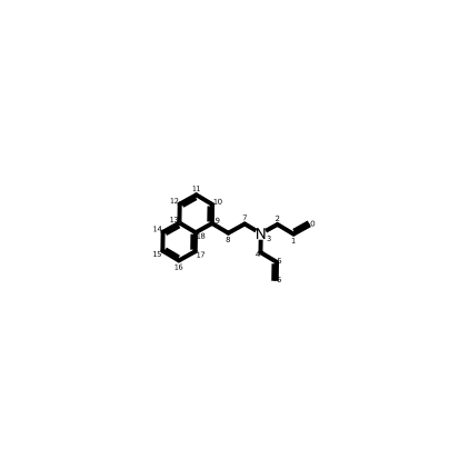 C=CCN(CC=C)CCc1cccc2ccccc12